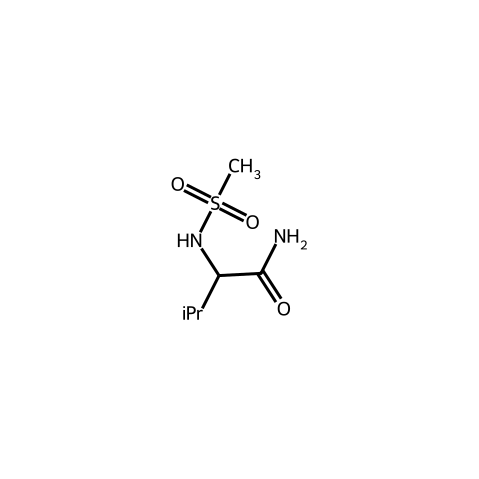 CC(C)C(NS(C)(=O)=O)C(N)=O